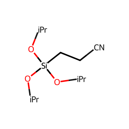 CC(C)O[Si](CCC#N)(OC(C)C)OC(C)C